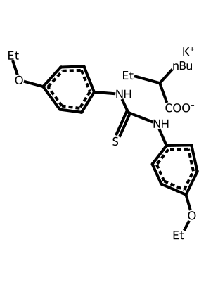 CCCCC(CC)C(=O)[O-].CCOc1ccc(NC(=S)Nc2ccc(OCC)cc2)cc1.[K+]